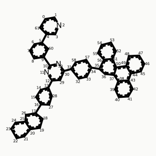 c1cncc(-c2cccc(-c3nc(-c4ccc(-c5ccc6ccccc6c5)cc4)cc(-c4ccc(-c5cc6c7ccccc7c7ccccc7c6c6ccccc56)cc4)n3)c2)c1